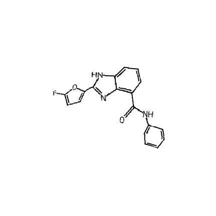 O=C(Nc1ccccc1)c1cccc2[nH]c(-c3ccc(F)o3)nc12